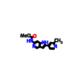 COC(=O)Nc1cc2[nH]c(-c3ccnc(C)c3)cc2cn1